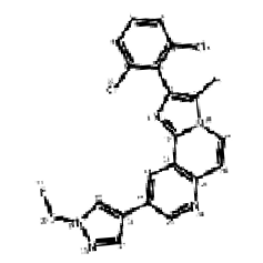 Cc1c(-c2c(Cl)cccc2Cl)nc2c3cc(-c4cnn(SF)c4)cnc3ccn12